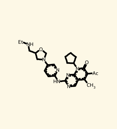 CCNCC1CN(c2ccc(Nc3ncc4c(C)c(C(C)=O)c(=O)n(C5CCCC5)c4n3)nc2)CO1